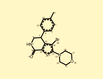 Cc1ccc(C2CNC(=O)c3sc(N4CCOCC4)c(Br)c32)cc1